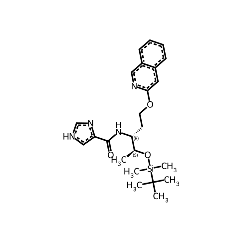 C[C@H](O[Si](C)(C)C(C)(C)C)[C@@H](CCOc1cc2ccccc2cn1)NC(=O)c1c[nH]cn1